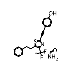 NC=O.Oc1ccc(C#Cc2nc(C(F)(F)F)c(CCc3ccccc3)s2)cc1